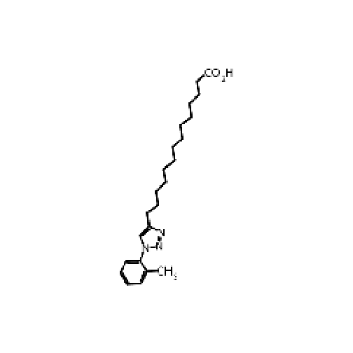 Cc1ccccc1-n1cc(CCCCCCCCCCCCCC(=O)O)nn1